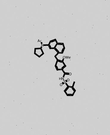 COc1cc(C(=O)NS(=O)(=O)c2ccccc2C)ccc1Cc1cccc2ccc(N(C(C)=O)C3CCCC3)cc12